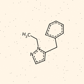 CCn1nccc1Cc1ccccc1